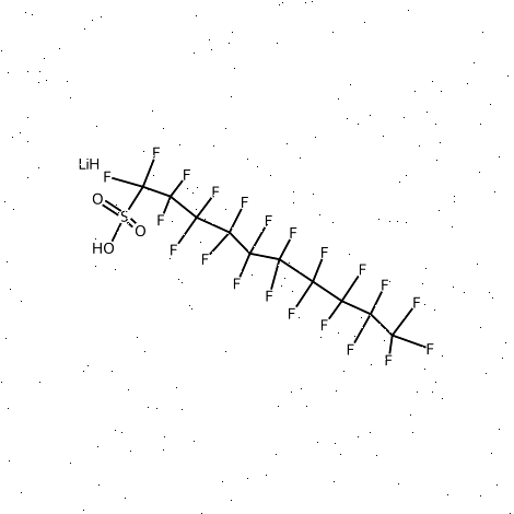 O=S(=O)(O)C(F)(F)C(F)(F)C(F)(F)C(F)(F)C(F)(F)C(F)(F)C(F)(F)C(F)(F)C(F)(F)C(F)(F)F.[LiH]